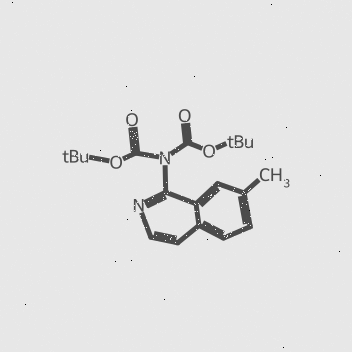 Cc1ccc2ccnc(N(C(=O)OC(C)(C)C)C(=O)OC(C)(C)C)c2c1